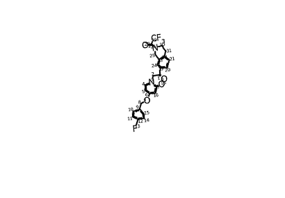 O=C(Cn1ccc(OCc2ccc(F)cc2)cc1=O)c1ccc2c(c1)CN(C(=O)C(F)(F)F)CC2